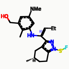 CC/C=C(/Nc1cc(NC)cc(CO)c1C)c1nn(SF)c2c1C[C@@H](C)CC2